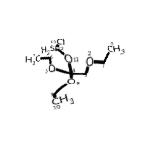 CCOCC(OCC)(OCC)O[SiH2]Cl